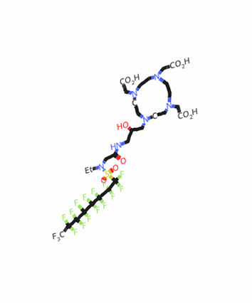 CCN(CC(=O)NCC(O)CN1CCN(CC(=O)O)CCN(CC(=O)O)CCN(CC(=O)O)CC1)S(=O)(=O)C(F)(F)C(F)(F)C(F)(F)C(F)(F)C(F)(F)C(F)(F)C(F)(F)C(F)(F)F